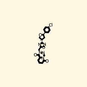 O=c1c2cccc(=O)n2cnn1Cc1nc([C@@H]2CO[C@@H](c3ccc(Cl)cc3)C2)no1